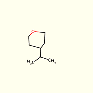 C[C](C)C1CCOCC1